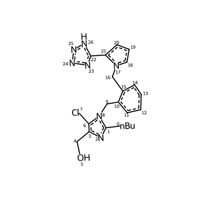 CCCCc1nc(CO)c(Cl)n1Cc1ccccc1Cn1cccc1-c1nnn[nH]1